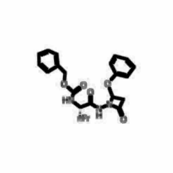 CCC[C@H](NC(=O)OCc1ccccc1)C(=O)NN1C(=O)CC1Oc1ccccc1